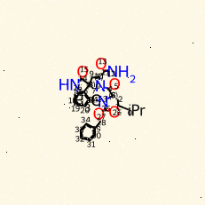 CC(C)CC[C@@H](C(=O)N1C[C@]2(C[C@H]1C(N)=O)C(=O)Nc1ccccc12)N(C)C(=O)OCc1ccccc1